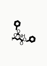 O=C(NC(CCI)C(=O)OCc1ccccc1)OCc1ccccc1